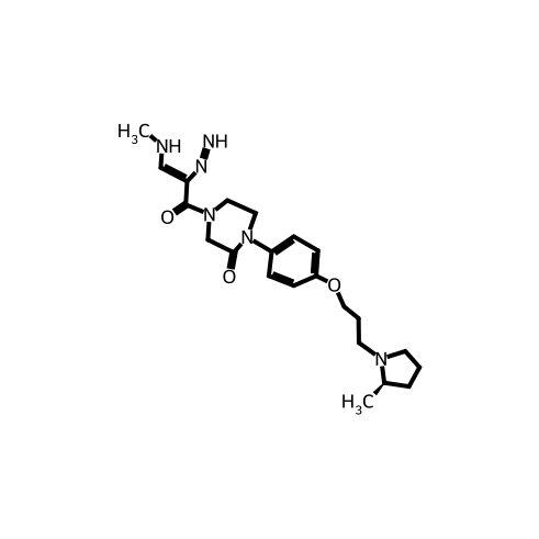 CN/C=C(\N=N)C(=O)N1CCN(c2ccc(OCCCN3CCC[C@H]3C)cc2)C(=O)C1